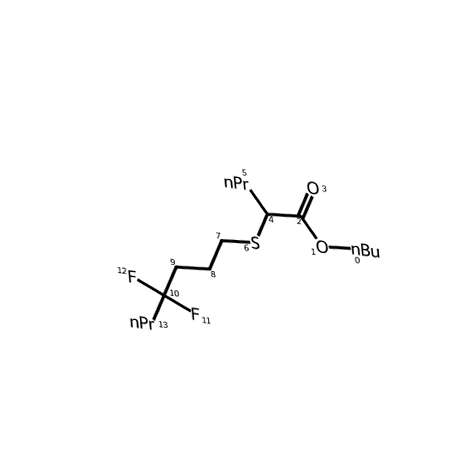 CCCCOC(=O)C(CCC)SCCCC(F)(F)CCC